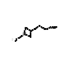 CSCCC1CN(C)C1